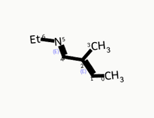 C/C=C(C)/[C]=N/CC